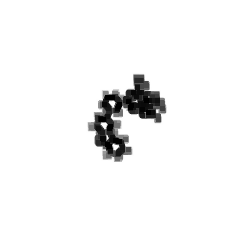 CC1(C)OB(c2cccc(-c3ccc4oc5ccccc5c4c3)c2)OC1(C)C